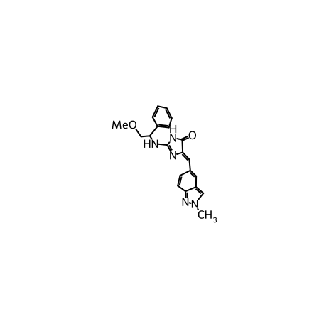 COCC(NC1=N/C(=C\c2ccc3nn(C)cc3c2)C(=O)N1)c1ccccc1